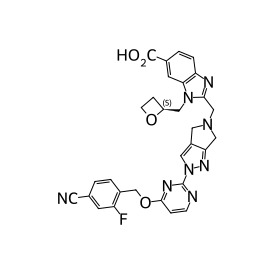 N#Cc1ccc(COc2ccnc(-n3cc4c(n3)CN(Cc3nc5ccc(C(=O)O)cc5n3C[C@@H]3CCO3)C4)n2)c(F)c1